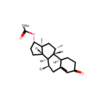 CC[C@@H]1CC2=CC(=O)CC[C@@H]2[C@@H]2[C@@H]1[C@@H]1CC[C@H](OC(=O)OC)[C@@]1(C)C[C@@H]2C